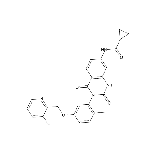 Cc1ccc(OCc2ncccc2F)cc1-n1c(=O)[nH]c2cc(NC(=O)C3CC3)ccc2c1=O